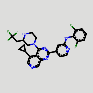 Fc1cccc(F)c1Nc1cc(-c2nc(N3CCNC(CC(F)(F)F)C3)c3c(C4CC4)cncc3n2)ccn1